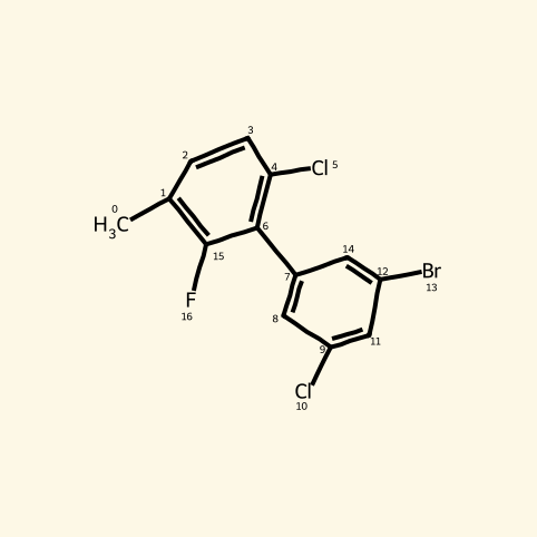 Cc1ccc(Cl)c(-c2cc(Cl)cc(Br)c2)c1F